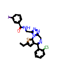 CCc1cc2c(s1)-n1c(nnc1CNC(=O)c1cccc(I)c1)CN=C2c1ccccc1Cl